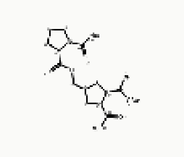 COC(O)[C@@H]1CC(COC(=O)C2CCCN2C(=O)C(C)(C)C)CN1C(=O)C(C)(C)C